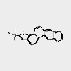 C[Si](C)(C)c1cc2ccc3c4cc5ccccc5cc4ccc3c2s1